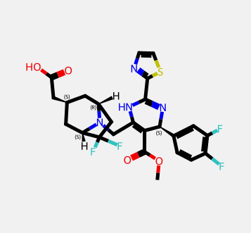 COC(=O)C1=C(CN2[C@@H]3C[C@H](CC(=O)O)C[C@H]2C(F)(F)C3)NC(c2nccs2)=N[C@H]1c1ccc(F)c(F)c1